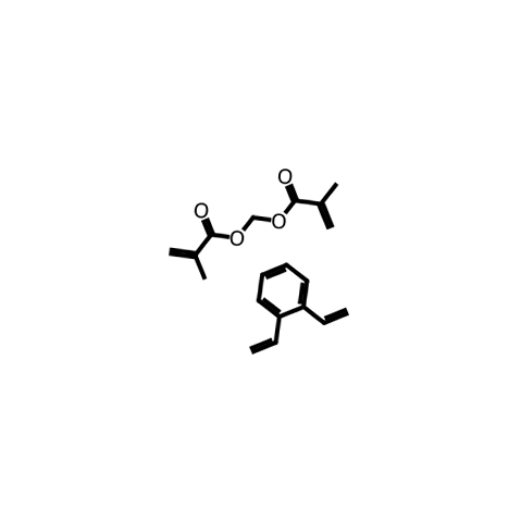 C=C(C)C(=O)OCOC(=O)C(=C)C.C=Cc1ccccc1C=C